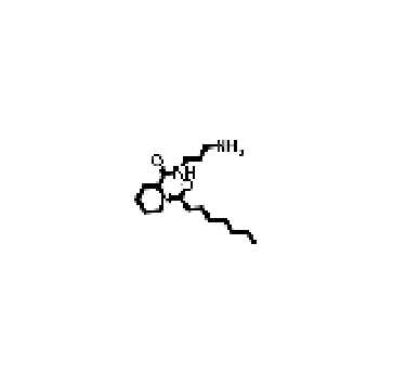 CCCCCCCC(=O)N1CCCCC1C(=O)NCCCN